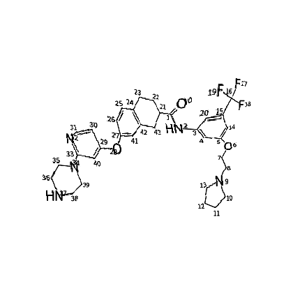 O=C(Nc1cc(OCCN2CCCC2)cc(C(F)(F)F)c1)C1CCc2ccc(Oc3ccnc(N4CCNCC4)c3)cc2C1